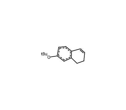 CC(C)(C)Oc1ccc2c(c1)CCC=[C]2